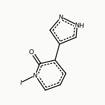 O=c1c(-c2cn[nH]c2)cccn1I